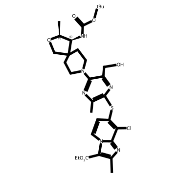 CCOC(=O)c1c(C)nc2c(Cl)c(Sc3nc(CO)c(N4CCC5(CC4)CO[C@@H](C)[C@H]5NC(=O)OC(C)(C)C)nc3C)ccn12